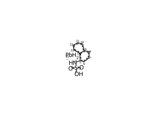 O=S(=O)(O)Nc1cccc2ccccc12.[PbH2]